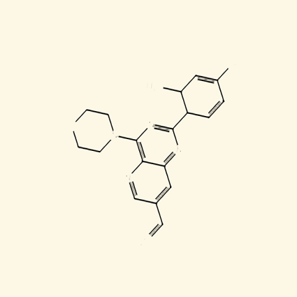 C=Cc1cnc2c(N3CCOCC3)nc(C3C=CC(O)=CC3C)nc2c1